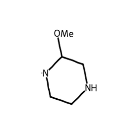 COC1CNCC[N]1